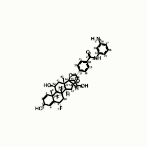 C[C@]12C=CC(O)C=C1[C@@H](F)C[C@H]1[C@@H]3C[C@H]4O[C@@H](c5ccc(C(=O)Nc6cccc(N)c6)cc5)O[C@@]4(C(=O)CO)[C@@]3(C)C[C@H](O)[C@@]12F